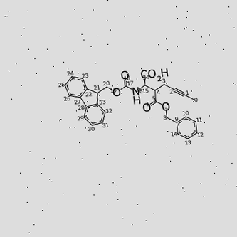 CC#CCC(C(=O)OCc1ccccc1)[C@@H](NC(=O)OCC1c2ccccc2-c2ccccc21)C(=O)O